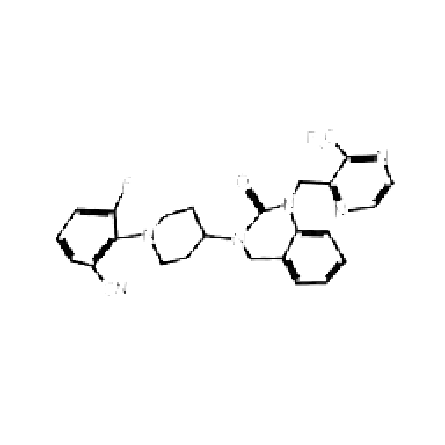 N#Cc1cccc(F)c1N1CCC(N2Cc3ccccc3N(Cc3nccnc3C(F)(F)F)C2=O)CC1